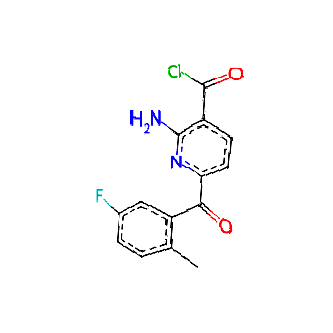 Cc1ccc(F)cc1C(=O)c1ccc(C(=O)Cl)c(N)n1